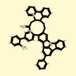 C=C1CC2C(CCc3cc4c(cc3-c3ccc(-c5ccccc5C)c[n+]31)c1cc(-c3ccccc3)cc3c5ccccc5n4c31)c1ccccc1-c1cccc[n+]12